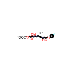 O=C([O-])COC[C@H](O)[C@@H](O)/C=C/C=C/C#C/C=C/[C@H](O)COc1ccc(F)cc1.[K+]